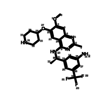 COc1cc2nc(C)nc(N[C@H](C)c3cc(N)cc(C(F)(F)F)c3)c2cc1OC1CCNCC1